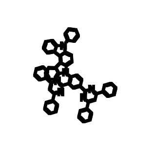 c1ccc(-c2cc(-c3ccccc3)nc(-c3ccc(-n4c5ccccc5c5c6c7ccccc7n(-c7ccccc7)c6ccc54)c(-c4nc(-c5ccccc5)cc(-c5ccccc5)n4)c3)n2)cc1